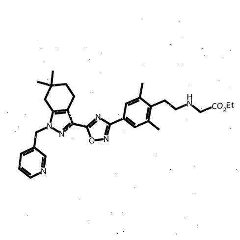 CCOC(=O)CNCCc1c(C)cc(-c2noc(-c3nn(Cc4cccnc4)c4c3CCC(C)(C)C4)n2)cc1C